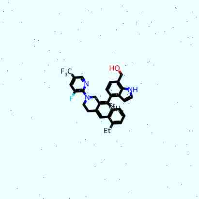 CCc1cccc(CC)c1/C=C1/CCN(c2ncc(C(F)(F)F)cc2F)C/C1=C(/C)c1ccc(CO)c2[nH]ccc12